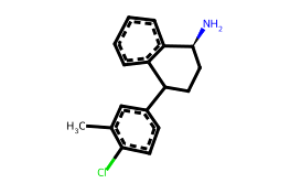 Cc1cc(C2CC[C@H](N)c3ccccc32)ccc1Cl